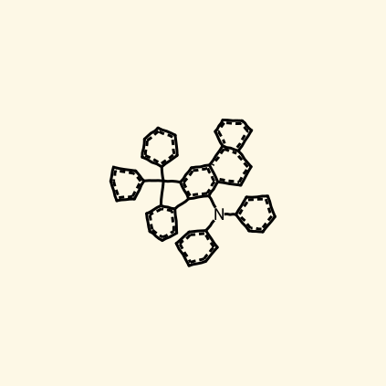 c1ccc(N(c2ccccc2)c2c3c(cc4c2ccc2ccccc24)C(c2ccccc2)(c2ccccc2)c2ccccc2-3)cc1